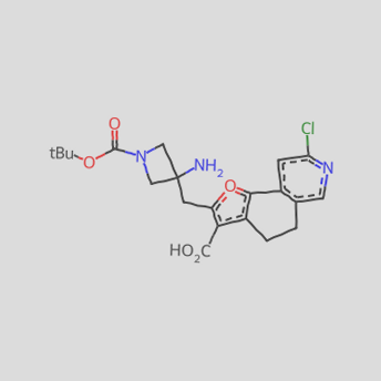 CC(C)(C)OC(=O)N1CC(N)(Cc2oc3c(c2C(=O)O)CCc2cnc(Cl)cc2-3)C1